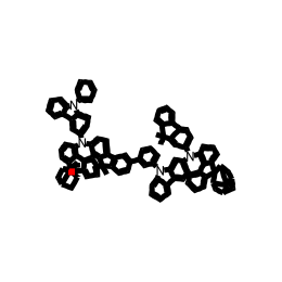 CC1(C)c2ccccc2-c2ccc(N(c3ccc4c5ccccc5n(-c5cccc(-c6ccc7c(c6)-c6ccc(N(c8ccc9c(c8)c8ccccc8n9-c8ccccc8)c8cccc9c8-c8ccccc8C98C9CC%10CC(C9)CC8C%10)cc6C7(C)C)c5)c4c3)c3cccc4c3-c3ccccc3C43C4CC5CC(C4)CC3C5)cc21